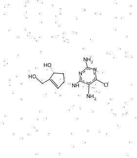 Nc1nc(Cl)c(N)c(N[C@@H]2C=C(CO)[C@H](O)C2)n1